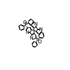 O=P(c1ccccc1)(c1ccccc1)c1cnc2c(c1)C1(c3cccnc3-c3ncccc31)c1cc(P(=O)(c3ccccc3)c3ccccc3)cnc1-2